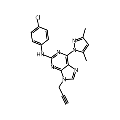 C#CCn1cnc2c(-n3nc(C)cc3C)nc(Nc3ccc(Cl)cc3)nc21